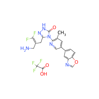 Cc1cc(-c2ccc3ocnc3c2)cnc1-n1c(CC(CN)=C(F)F)n[nH]c1=O.O=C(O)C(F)(F)F